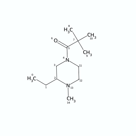 CCC1CN(C(=O)C(C)(C)C)CCN1C